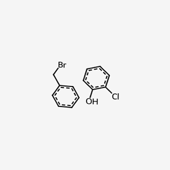 BrCc1ccccc1.Oc1ccccc1Cl